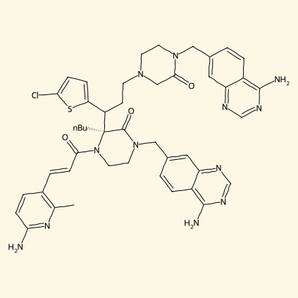 CCCC[C@]1(C(CCN2CCN(Cc3ccc4c(N)ncnc4c3)C(=O)C2)c2ccc(Cl)s2)C(=O)N(Cc2ccc3c(N)ncnc3c2)CCN1C(=O)C=Cc1ccc(N)nc1C